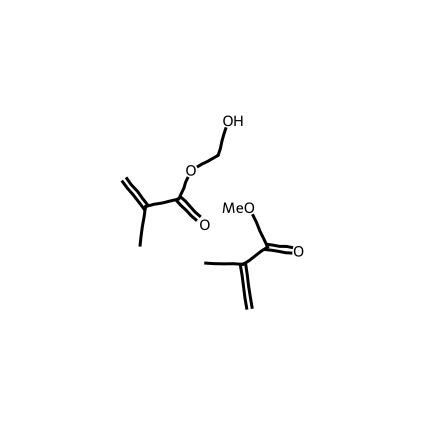 C=C(C)C(=O)OC.C=C(C)C(=O)OCO